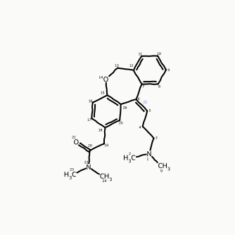 CN(C)CC/C=C1/c2ccccc2COc2ccc(CC(=O)N(C)C)cc21